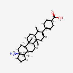 CC1C(C2=CCC(C(=O)O)CC2)=CCC2(C)C1CCC1(C)C2CCC2[C@H]3CCCC3(N)CC[C@]21C